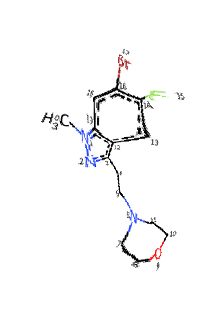 Cn1nc(CCN2CCOCC2)c2cc(F)c(Br)cc21